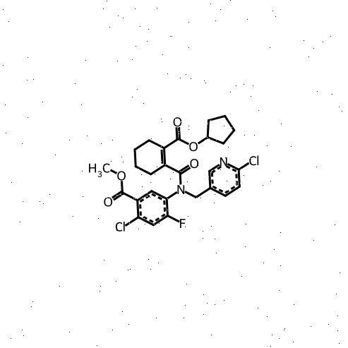 COC(=O)c1cc(N(Cc2ccc(Cl)nc2)C(=O)C2=C(C(=O)OC3CCCC3)CCCC2)c(F)cc1Cl